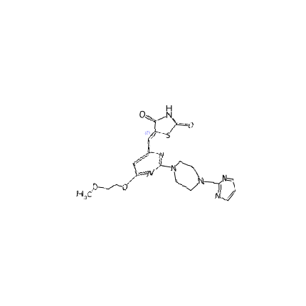 COCCOc1cc(/C=C2\SC(=O)NC2=O)nc(N2CCN(c3ncccn3)CC2)n1